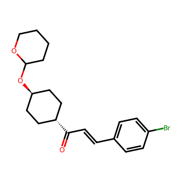 O=C(/C=C/c1ccc(Br)cc1)[C@H]1CC[C@H](OC2CCCCO2)CC1